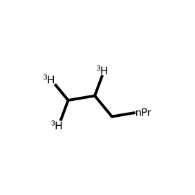 [3H][C]([3H])C([3H])CCCC